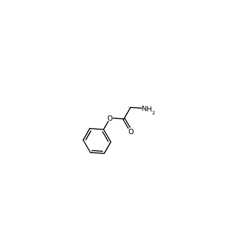 N[CH]C(=O)Oc1ccccc1